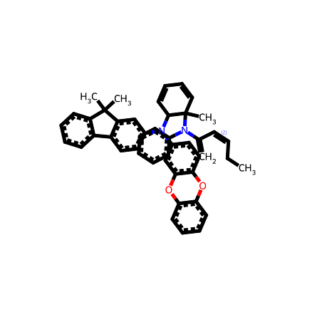 C=C(/C=C\CC)N(c1ccccc1)C1(C)C=CC=CC1N(c1ccc2c(c1)Oc1ccccc1O2)c1ccc2c(c1)C(C)(C)c1ccccc1-2